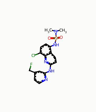 CN(C)S(=O)(=O)Nc1ccc(Cl)c2nc(Nc3cc(CF)ccn3)ccc12